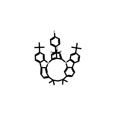 CC(C)(C)c1ccc2c3ccc4cc3n(c2c1)-c1cc(-c2ccc(F)cc2)cc(c1C(F)(F)F)-n1c2cc(C(C)(C)C)ccc2c2ccc(cc21)C(C)(C)CC4(C)C